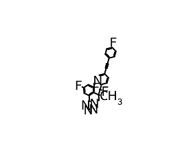 CC1(C(F)(F)c2ccc(C#Cc3ccc(F)cc3)cn2)Cn2nnnc2-c2cc(F)ccc21